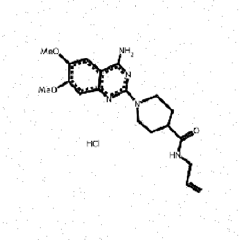 C=CCNC(=O)C1CCN(c2nc(N)c3cc(OC)c(OC)cc3n2)CC1.Cl